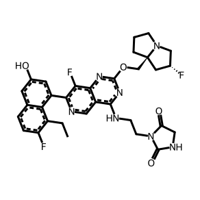 CCc1c(F)ccc2cc(O)cc(-c3ncc4c(NCCN5C(=O)CNC5=O)nc(OC[C@@]56CCCN5C[C@H](F)C6)nc4c3F)c12